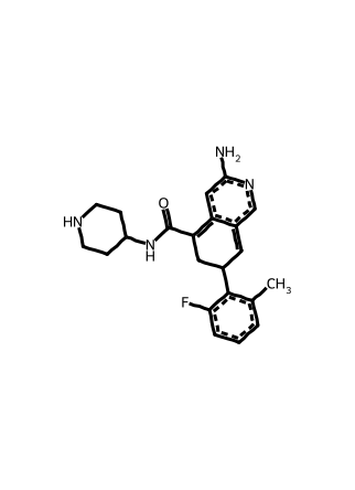 Cc1cccc(F)c1C1C=c2cnc(N)cc2=C(C(=O)NC2CCNCC2)C1